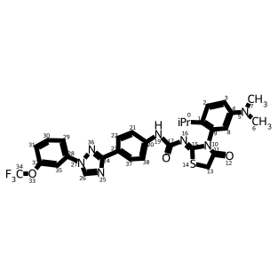 CC(C)c1ccc(N(C)C)cc1N1C(=O)CS/C1=N\C(=O)Nc1ccc(-c2ncn(-c3cccc(OC(F)(F)F)c3)n2)cc1